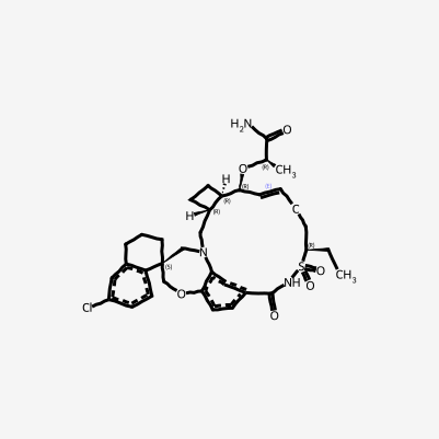 CC[C@@H]1CC/C=C/[C@H](O[C@H](C)C(N)=O)[C@@H]2CC[C@H]2CN2C[C@@]3(CCCc4cc(Cl)ccc43)COc3ccc(cc32)C(=O)NS1(=O)=O